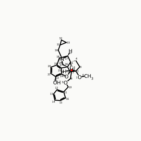 COC12CC[C@@]3(C[C@H]1COCc1ccccc1)[C@H]1Cc4ccc(O)c5c4[C@@]3(CCN1CC1CC1)[C@H]2O5